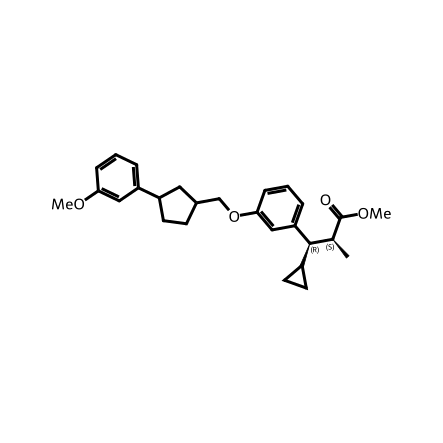 COC(=O)[C@@H](C)[C@H](c1cccc(OCC2CCC(c3cccc(OC)c3)C2)c1)C1CC1